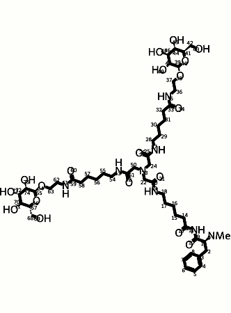 CN[C@@H](Cc1ccccc1)C(=O)NC(=O)CCCCCNC(=O)CN(CC(=O)NCCCCCC(=O)NCCO[C@H]1O[C@H](CO)[C@@H](O)[C@H](O)[C@@H]1O)CC(=O)NCCCCCC(=O)NCCO[C@H]1O[C@H](CO)[C@@H](O)[C@H](O)[C@@H]1O